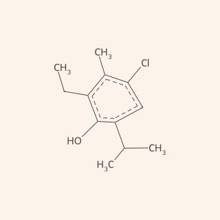 CCc1c(C)c(Cl)cc(C(C)C)c1O